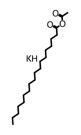 CCCCCCCCCCCCCCCCCC(=O)OC(C)=O.[KH]